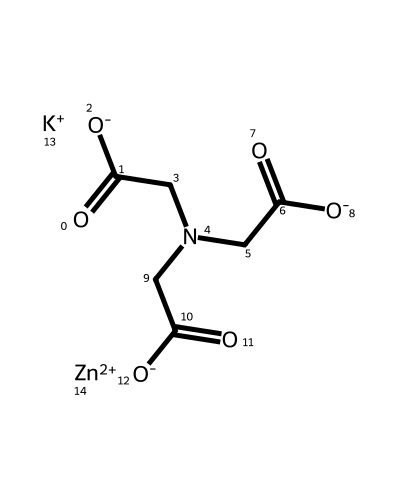 O=C([O-])CN(CC(=O)[O-])CC(=O)[O-].[K+].[Zn+2]